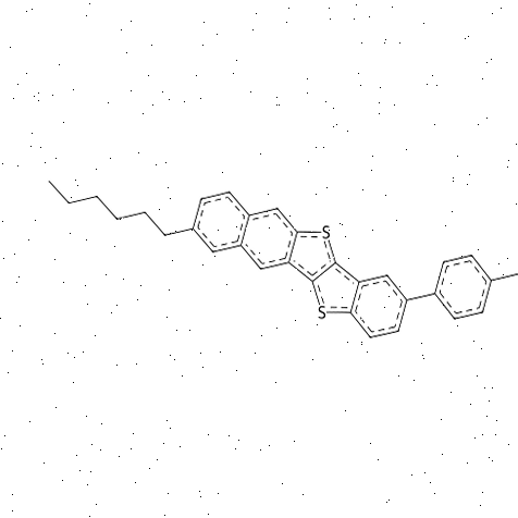 CCCCCCc1ccc2cc3sc4c5cc(-c6ccc(C)cc6)ccc5sc4c3cc2c1